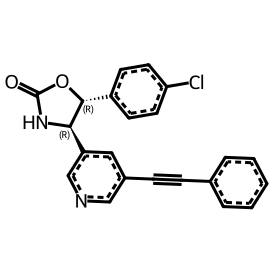 O=C1N[C@H](c2cncc(C#Cc3ccccc3)c2)[C@@H](c2ccc(Cl)cc2)O1